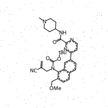 C=C(C#N)CN(C(=O)OC(C)(C)C)c1c(COC)ccc2ccc(-c3ccnc(C(=O)NC4CCN(C)CC4)n3)cc12